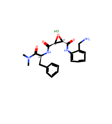 CN(C)C(=O)[C@H](Cc1ccccc1)NC(=O)[C@H]1O[C@@H]1C(=O)Nc1ccccc1CN.Cl